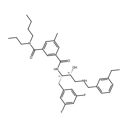 CCCCN(CCC)C(=O)c1cc(C)cc(C(=O)N[C@@H](Cc2cc(F)cc(F)c2)[C@H](O)CNCc2cccc(CC)c2)c1